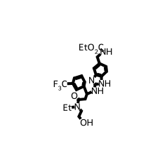 CCOC(=O)NCc1ccc2[nH]c(NC(CC(=O)N(CC)CCO)c3cccc(C(F)(F)F)c3)nc2c1